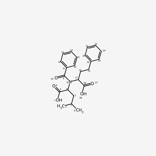 CC(C)CC(C(=O)O)N(C(=O)c1ccccc1)C(CCc1ccccc1)C(=O)O